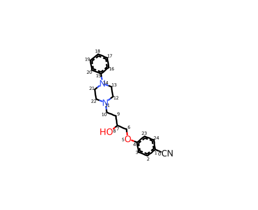 N#Cc1ccc(OCC(O)CCN2CCN(c3ccccc3)CC2)cc1